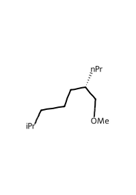 CCC[C@@H](CCCC(C)C)COC